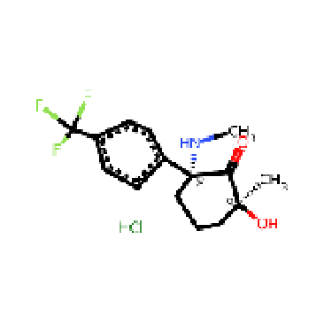 CN[C@@]1(c2ccc(C(F)(F)F)cc2)CCC[C@](C)(O)C1=O.Cl